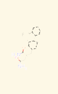 NC(=O)CC(Cc1ccc(-c2ccccc2C(F)(F)F)cc1)C(N)=O